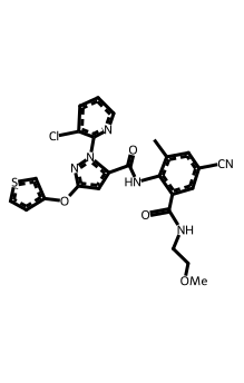 COCCNC(=O)c1cc(C#N)cc(C)c1NC(=O)c1cc(Oc2ccsc2)nn1-c1ncccc1Cl